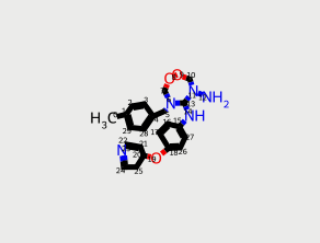 Cc1ccc(CN2COOCN(N)C2Nc2ccc(OC3C=CN=CC3)cc2)cc1